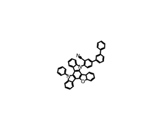 N#Cc1cc(-c2cccc(-c3ccccc3)c2)ccc1-n1c2ccccc2c2c1c1c(c3c4ccccc4n(-c4ccccc4)c32)OC2C=CC=CC12